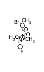 Cc1cc2oc(C(=O)N3C[C@@H](C)N(Cc4ccc(F)cc4)C[C@@H]3C)cc2cc1Br